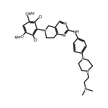 COc1cc(OC)c(Cl)c(N2CCc3nc(Nc4ccc(N5CCN(CCN(C)C)CC5)cc4)ncc3C2)c1Cl